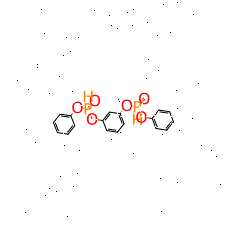 O=[PH](Oc1ccccc1)Oc1cccc(O[PH](=O)Oc2ccccc2)c1